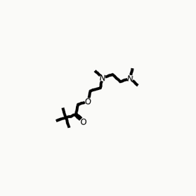 CN(C)CCN(C)CCOCC(=O)C(C)(C)C